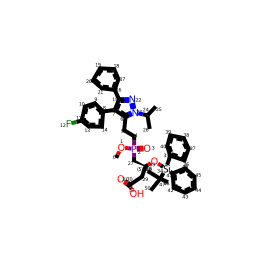 COP(=O)(CCc1c(-c2ccc(F)cc2)c(-c2ccccc2)nn1C(C)C)C[C@H](CC(=O)O)O[Si](c1ccccc1)(c1ccccc1)C(C)(C)C